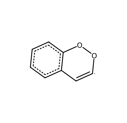 [C]1=Cc2ccccc2OO1